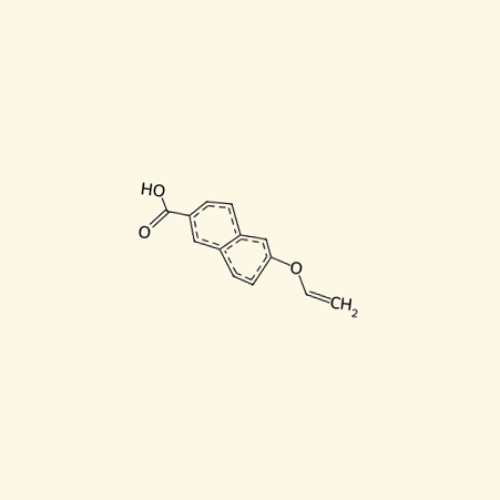 C=COc1ccc2cc(C(=O)O)ccc2c1